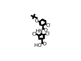 CC(C)(C)COc1ccc(Cl)c(C(=O)Nc2c(Cl)cc(C(=O)O)cc2Cl)c1